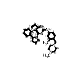 CN1CCN(Cc2ccc(Nc3nc(N4N=CCC4c4ccccc4)c4sccc4n3)cc2C(F)(F)F)CC1